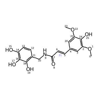 COc1cc(/C=C/C(=O)NCc2ccc(O)c(O)c2O)cc(OC)c1O